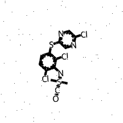 CS(C)(=C=O)=Nc1c(Cl)ccc(Sc2cnc(Cl)cn2)c1Cl